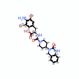 Nc1c(Br)cc(C[C@@H](NC(=O)N2CCC(N3Cc4ccccc4NC3=O)CC2)C(=O)O)cc1Br